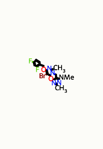 CNc1nc(C)ncc1Cn1c(C)nc(OCc2ccc(F)cc2F)c(Br)c1=O